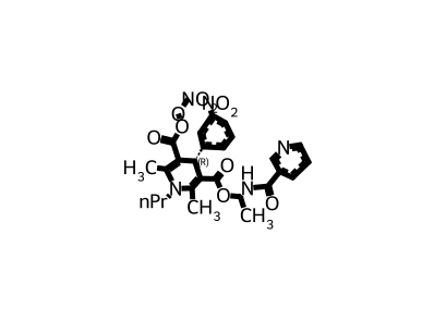 CCCN1C(C)=C(C(=O)OO[N+](=O)[O-])[C@H](c2cccc([N+](=O)[O-])c2)C(C(=O)OC(C)NC(=O)c2cccnc2)=C1C